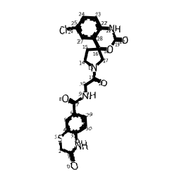 O=C1CSc2cc(C(=O)NCC(=O)N3CCC4(C3)OC(=O)Nc3ccc(Cl)cc34)ccc2N1